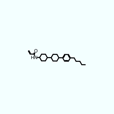 C=CC(=O)NC1CCC(C2CCC(c3ccc(CCCCC)cc3)CC2)CC1